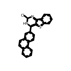 ClC1N=c2c(sc3ccccc23)=C(c2ccc3c(ccc4ccccc43)c2)N1